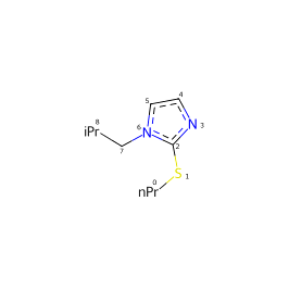 CCCSc1nccn1CC(C)C